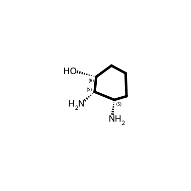 N[C@@H]1[C@H](O)CCC[C@@H]1N